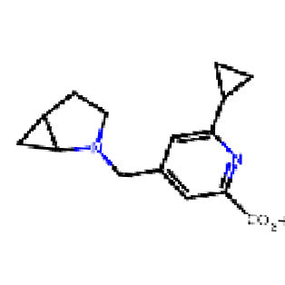 O=C(O)c1cc(CN2CCC3CC32)cc(C2CC2)n1